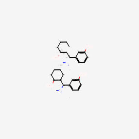 CN(C)C(c1cccc(O)c1)C1CCCCC1O.CN(C)[C@@H](c1cccc(O)c1)[C@H]1CCCC[C@H]1O